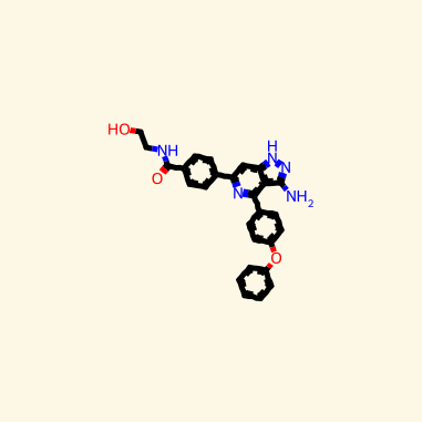 Nc1n[nH]c2cc(-c3ccc(C(=O)NCCO)cc3)nc(-c3ccc(Oc4ccccc4)cc3)c12